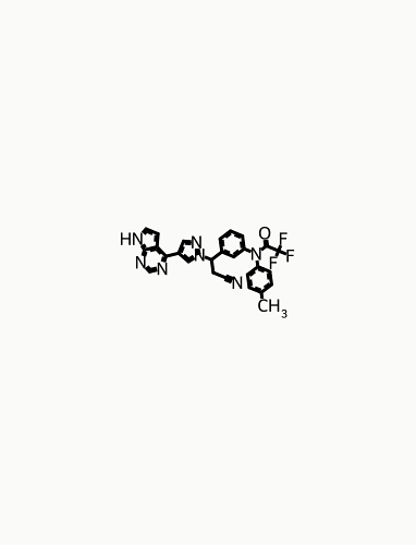 Cc1ccc(N(C(=O)C(F)(F)F)c2cccc(C(CC#N)n3cc(-c4ncnc5[nH]ccc45)cn3)c2)cc1